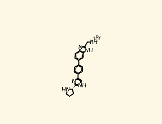 CCCNCc1nc2ccc(-c3ccc(-c4c[nH]c([C@@H]5CCCN5)n4)cc3)cc2[nH]1